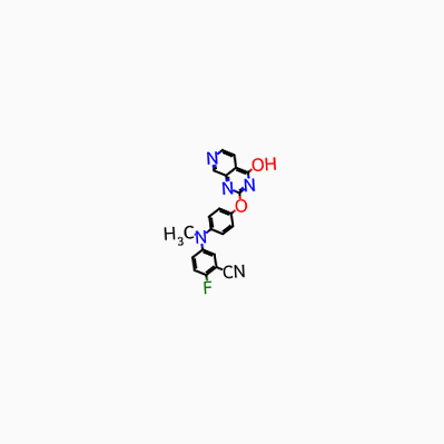 CN(c1ccc(Oc2nc(O)c3ccncc3n2)cc1)c1ccc(F)c(C#N)c1